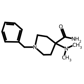 CN(C)C1(C(N)=O)CCN(Cc2ccccc2)CC1